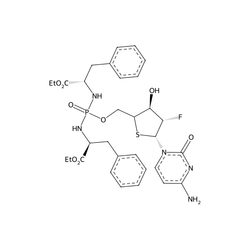 CCOC(=O)[C@H](Cc1ccccc1)NP(=O)(N[C@@H](Cc1ccccc1)C(=O)OCC)OCC1S[C@@H](n2ccc(N)nc2=O)[C@@H](F)[C@@H]1O